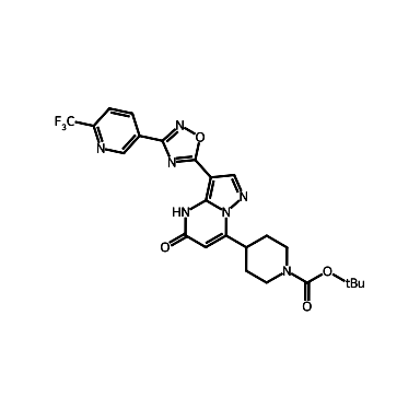 CC(C)(C)OC(=O)N1CCC(c2cc(=O)[nH]c3c(-c4nc(-c5ccc(C(F)(F)F)nc5)no4)cnn23)CC1